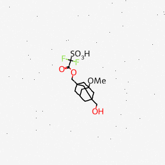 COC12CC3CC(CO)(CC(COC(=O)C(F)(F)S(=O)(=O)O)(C3)C1)C2